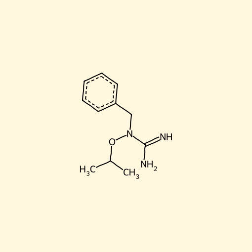 CC(C)ON(Cc1ccccc1)C(=N)N